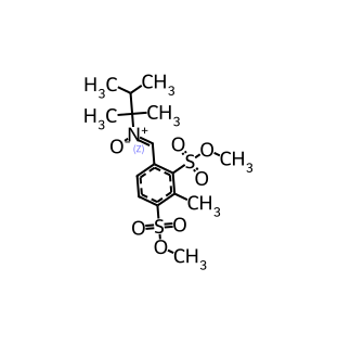 COS(=O)(=O)c1ccc(/C=[N+](\[O-])C(C)(C)C(C)C)c(S(=O)(=O)OC)c1C